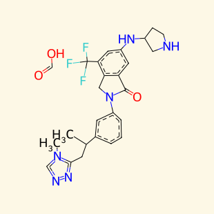 CC(Cc1nncn1C)c1cccc(N2Cc3c(cc(NC4CCNC4)cc3C(F)(F)F)C2=O)c1.O=CO